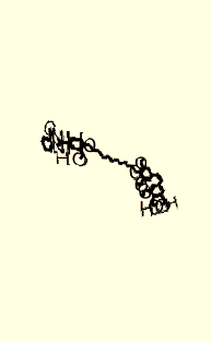 COc1cc(/C=C\c2cc(OC)c(OCCCCCCCCCCOc3ccc(C4NC(=O)c5ccccc5N4)cc3CO)c(OC)c2)cc(CO)c1CO